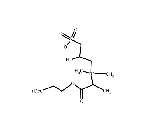 CCCCCCCCCCCCOC(=O)C(C)[N+](C)(C)CC(O)CS(=O)(=O)[O-]